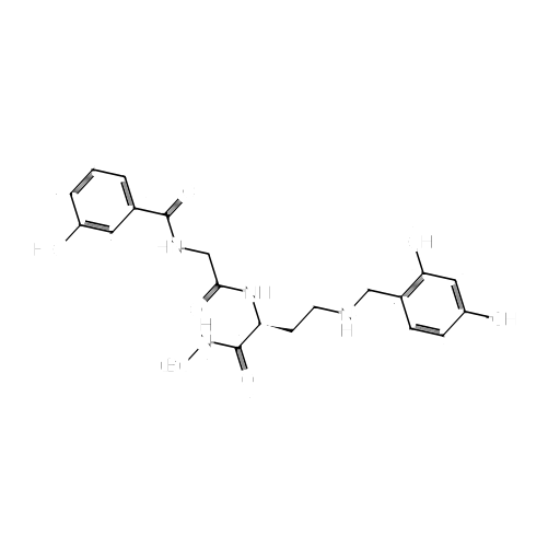 Cc1ccc(CNCC[C@H](NC(=O)CNC(=O)c2cccc(C(F)(F)F)c2)C(=O)NC(C)(C)C)c(C)c1